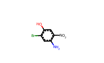 Nc1cc(Br)c(O)cc1[N+](=O)[O-]